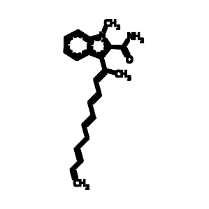 C=CC=CCC=CC=CC=C(C)c1c(C(N)=O)n(C)c2ccccc12